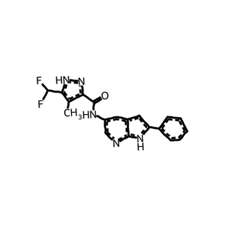 Cc1c(C(=O)Nc2cnc3[nH]c(-c4ccccc4)cc3c2)n[nH]c1C(F)F